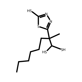 CCCCCCC(C)(c1nnc(S)s1)C(S)S